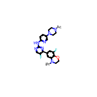 CC(=O)N1CCN(c2ccc(Nc3ncc(F)c(-c4cc(F)c5c(c4)N(C(C)C)CCO5)n3)nc2)CC1